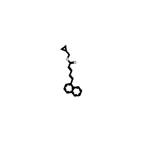 O=C(C=CC=Cc1cccc2ccccc12)OCC1CC1